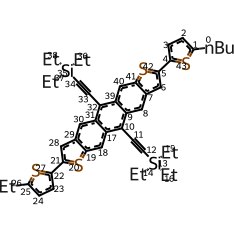 CCCCc1ccc(-c2cc3cc4c(C#C[Si](CC)(CC)CC)c5cc6sc(-c7ccc(CC)s7)cc6cc5c(C#C[Si](CC)(CC)CC)c4cc3s2)s1